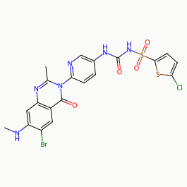 CNc1cc2nc(C)n(-c3ccc(NC(=O)NS(=O)(=O)c4ccc(Cl)s4)cn3)c(=O)c2cc1Br